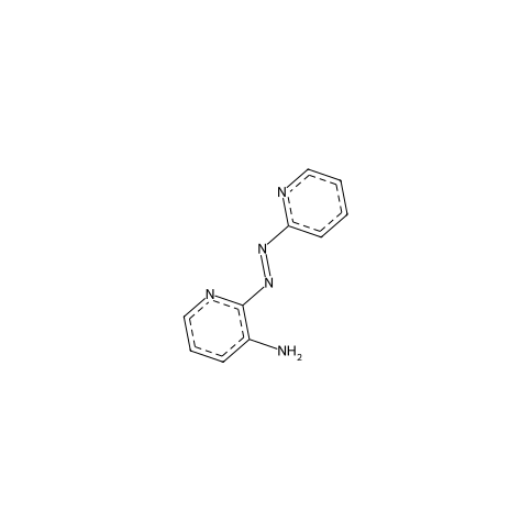 Nc1cccnc1N=Nc1ccccn1